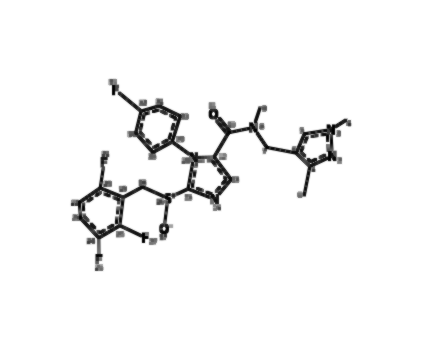 Cc1nn(C)cc1CN(C)C(=O)c1cnc([S+]([O-])Cc2c(F)ccc(F)c2F)n1-c1ccc(F)cc1